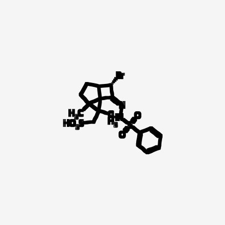 CC12CCC3[C@H](Br)/C(=N/NS(=O)(=O)c4ccccc4)C31C2(C)CS(=O)(=O)O